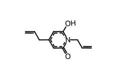 C=CCc1cc(O)n(CC=C)c(=O)c1